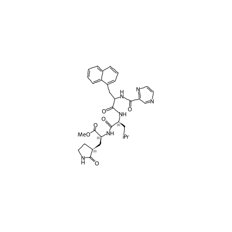 COC(=O)[C@H](C[C@@H]1CCNC1=O)NC(=O)[C@H](CC(C)C)NC(=O)C(Cc1cccc2ccccc12)NC(=O)c1cnccn1